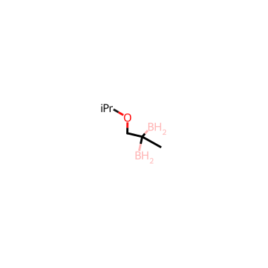 BC(B)(C)COC(C)C